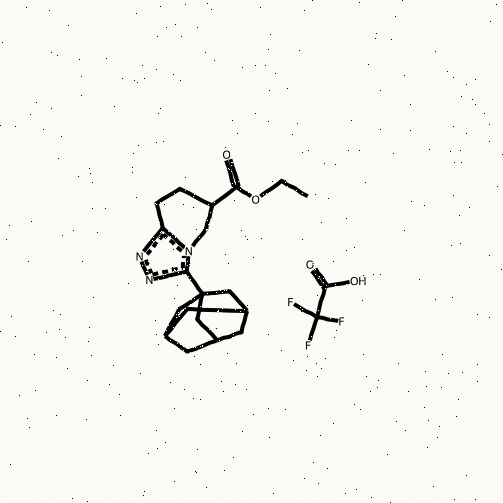 CCOC(=O)C1CCc2nnc(C34CC5CC(CC(C5)C3)C4)n2C1.O=C(O)C(F)(F)F